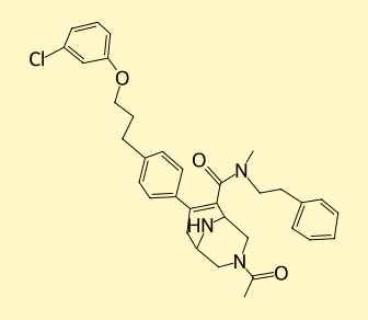 CC(=O)N1CC2CC(c3ccc(CCCOc4cccc(Cl)c4)cc3)=C(C(=O)N(C)CCc3ccccc3)C(C1)N2